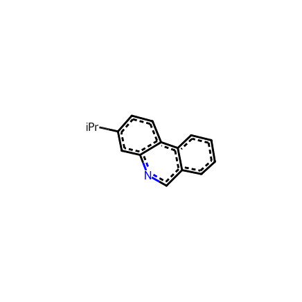 CC(C)c1ccc2c(c1)ncc1ccccc12